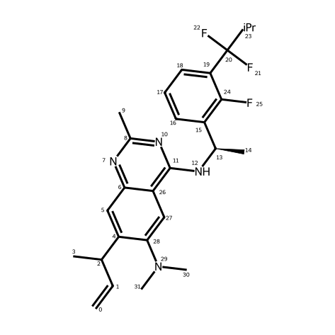 C=CC(C)c1cc2nc(C)nc(N[C@H](C)c3cccc(C(F)(F)C(C)C)c3F)c2cc1N(C)C